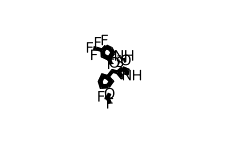 O=S(=O)(Nc1cc(F)c(C(F)(F)F)cc1F)c1c[nH]cc1Cc1cccc(OC(F)F)c1